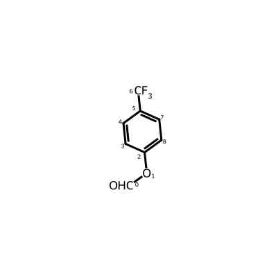 O=COc1ccc(C(F)(F)F)cc1